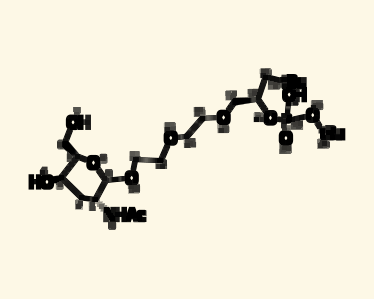 CC(=O)N[C@@H]1C[C@@H](O)[C@@H](CO)OC1OCCOCCOC[C@@H](CC(C)(C)C)OP(=O)(O)OC(C)(C)C